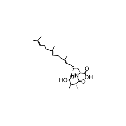 CC(C)=CCC/C(C)=C/CC/C(C)=C/CSC[C@H](NC(=O)[C@H](C)[C@@H](C)C(=O)O)C(=O)O